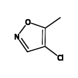 Cc1oncc1Cl